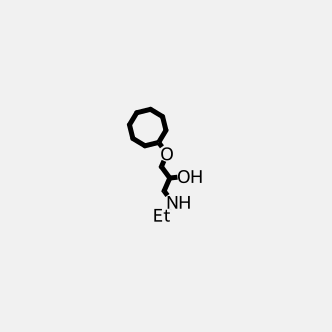 CCNCC(O)COC1CCCCCCC1